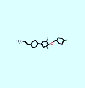 C/C=C/C1CCC(c2cc(F)c(OCC3CC=C(F)CC3)c(F)c2)CC1